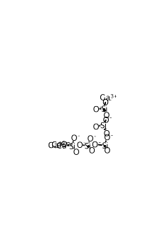 O=[Si]([O-])[O-].O=[Si]([O-])[O-].O=[Si]([O-])[O-].O=[Si]([O-])[O-].O=[Si]([O-])[O-].[Ca+2].[Ca+2].[Ga+3].[Ga+3]